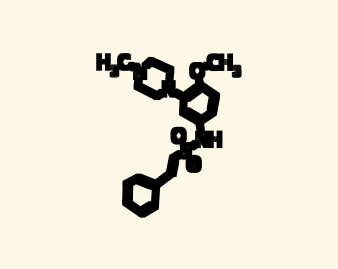 COc1ccc(NS(=O)(=O)/C=C/c2ccccc2)cc1N1CCN(C)CC1